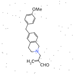 C=C(C=O)CN1CCc2cc(Cc3ccc(OC)cc3)ccc2C1